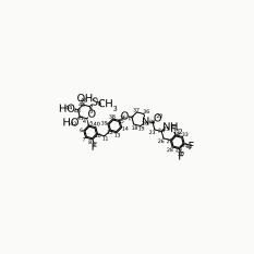 CS[C@H]1O[C@@H](c2ccc(F)c(Cc3ccc(OC4CCN(C(=O)CC(N)Cc5cc(F)c(F)cc5F)CC4)cc3)c2)[C@H](O)[C@@H](O)[C@@H]1O